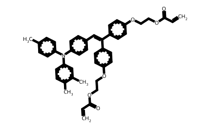 C=CC(=O)OCCOc1ccc(C(=Cc2ccc(N(c3ccc(C)cc3)c3ccc(C)c(C)c3)cc2)c2ccc(OCCOC(=O)C=C)cc2)cc1